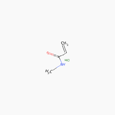 C=CC(=O)NC.Cl